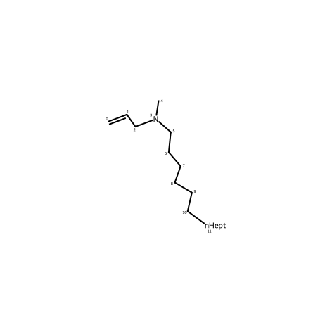 C=CCN(C)CCCCCCCCCCCCC